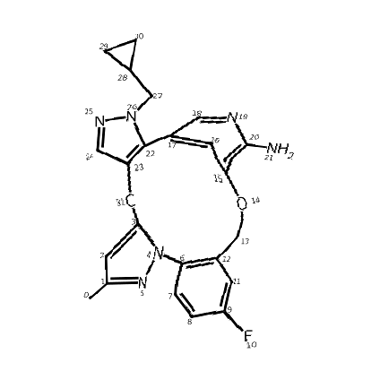 Cc1cc2n(n1)-c1ccc(F)cc1COc1cc(cnc1N)-c1c(cnn1CC1CC1)C2